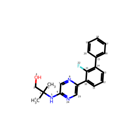 CC(C)(CO)Nc1cnc(-c2cccc(-c3ccccc3)c2F)cn1